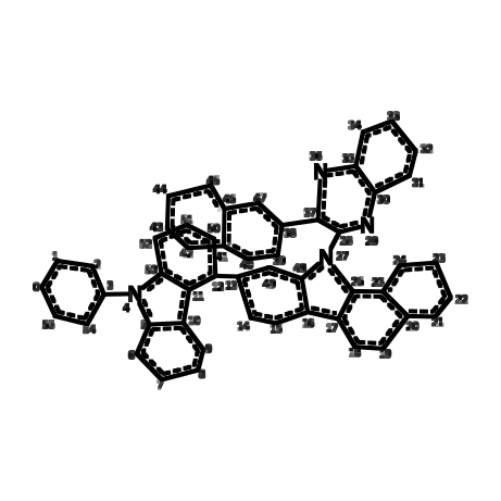 c1ccc(-n2c3ccccc3c3c(-c4ccc5c6ccc7ccccc7c6n(-c6nc7ccccc7nc6-c6ccc7ccccc7c6)c5c4)cccc32)cc1